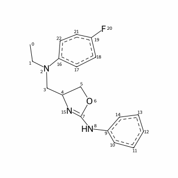 CCN(CC1COC(Nc2ccccc2)=N1)c1ccc(F)cc1